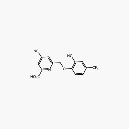 N#Cc1cc(COc2ccc(C(F)(F)F)cc2C#N)nc(C(=O)O)c1